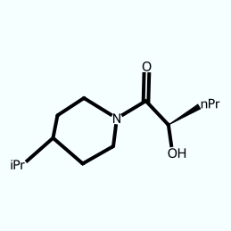 CCC[C@@H](O)C(=O)N1CCC(C(C)C)CC1